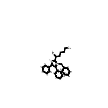 O=C(CCCCCl)c1nc(-c2ccccc2)c(-c2ccccc2)n1Cc1ccccc1